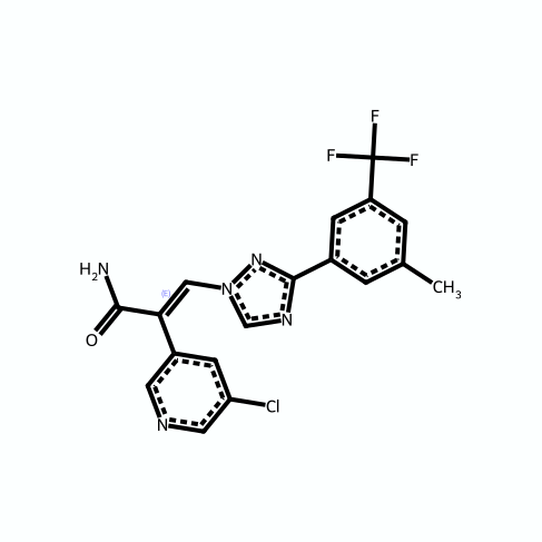 Cc1cc(-c2ncn(/C=C(/C(N)=O)c3cncc(Cl)c3)n2)cc(C(F)(F)F)c1